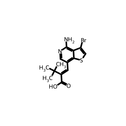 CC(C)(C)/C(=C\c1cnc(N)c2c(Br)csc12)C(=O)O